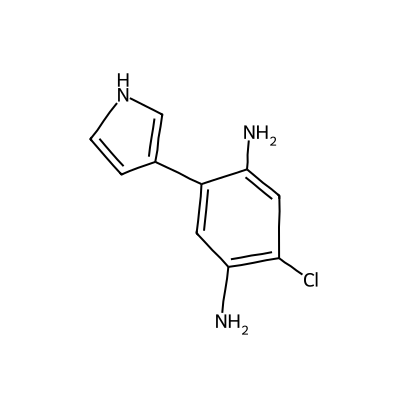 Nc1cc(-c2cc[nH]c2)c(N)cc1Cl